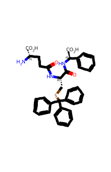 N[C@@H](CCC(=O)N[C@@H](CSC(c1ccccc1)(c1ccccc1)c1ccccc1)C(=O)N[C@@H](C(=O)O)c1ccccc1)C(=O)O